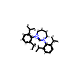 CC(C)c1cccc(C(C)C)c1N1C=[N+](c2c(C(C)C)cccc2C(C)C)CCCC1